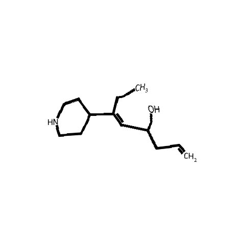 C=CCC(O)/C=C(\CC)C1CCNCC1